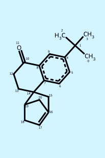 CC(C)(C)c1ccc2c(c1)C(=O)CCC21CC2=CCC1C2